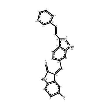 O=C1Nc2ccc(Br)cc2/C1=C/c1ccc2c(/C=C/c3cccnc3)n[nH]c2c1